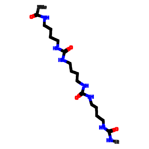 CCNC(=O)NCCCCNC(=O)NCCCCNC(=O)NCCCCNC(=O)NC